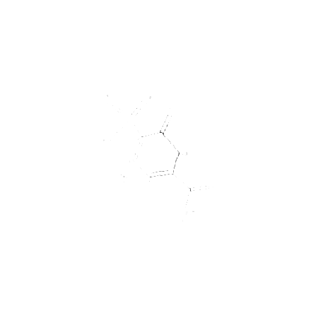 CCCCCCCCC(=O)C1=CC=C(S(=O)(=O)[O-])C(=O)C1.[Na+]